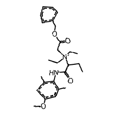 CCC(C(=O)Nc1c(C)cc(OC)cc1C)[N+](CC)(CC)CC(=O)OCc1ccccc1